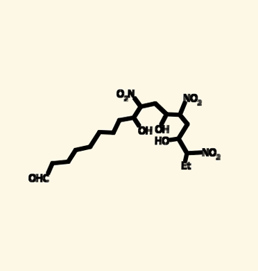 CCC(C(O)CC(C(O)CC(C(O)CCCCCCCC=O)[N+](=O)[O-])[N+](=O)[O-])[N+](=O)[O-]